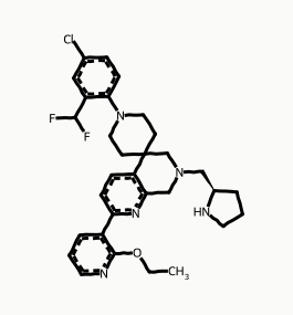 CCOc1ncccc1-c1ccc2c(n1)CN(C[C@H]1CCCN1)CC21CCN(c2ccc(Cl)cc2C(F)F)CC1